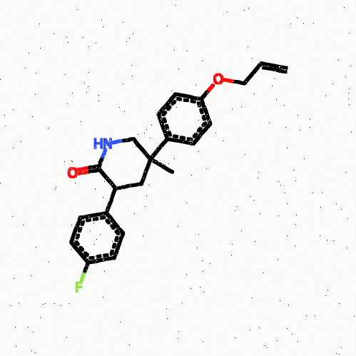 C=CCOc1ccc(C2(C)CNC(=O)C(c3ccc(F)cc3)C2)cc1